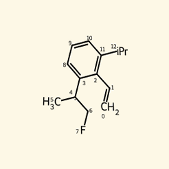 C=Cc1c([C](C)CF)cccc1C(C)C